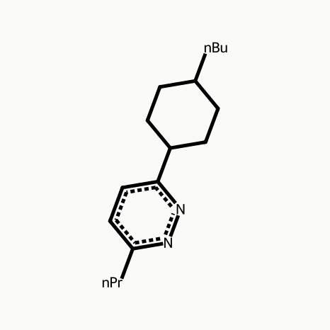 CCCCC1CCC(c2ccc(CCC)nn2)CC1